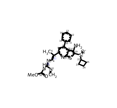 C=N/C(=N\C=C(/C)c1cc(-c2ccccc2)c2c(N)c([S+]([O-])C3CCC3)sc2n1)NC(=O)OC